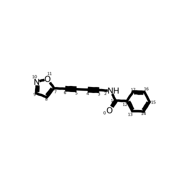 O=C(NC#CC#Cc1ccno1)c1ccccc1